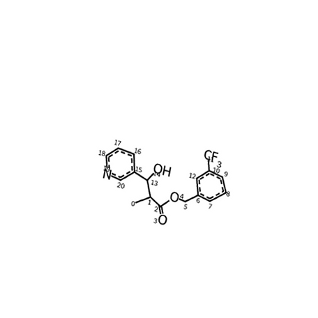 CC(C(=O)OCc1cccc(C(F)(F)F)c1)C(O)c1cccnc1